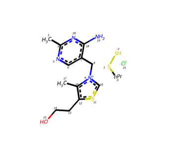 CCCSS.Cc1ncc(C[n+]2csc(CCO)c2C)c(N)n1.[Cl-]